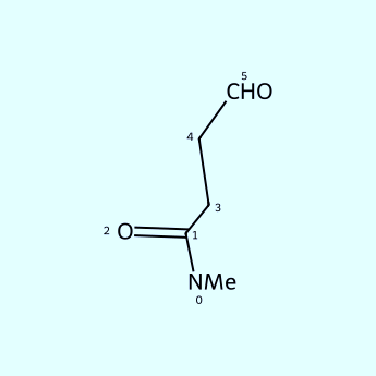 CNC(=O)CCC=O